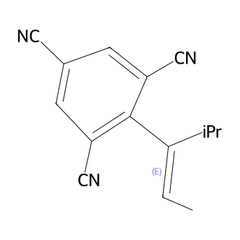 C/C=C(/c1c(C#N)cc(C#N)cc1C#N)C(C)C